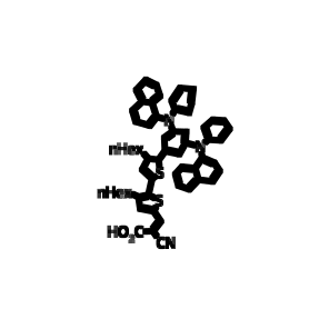 CCCCCCc1cc(/C=C(/C#N)C(=O)O)sc1C1=CC(CCCCCC)C(c2cc(N(c3ccccc3)c3cccc4ccccc34)cc(N(c3ccccc3)c3cccc4ccccc34)c2)S1